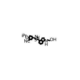 CC(C)Oc1ccc(-c2nnc(-c3cccc4c3CCC4NCCO)s2)cc1C#N